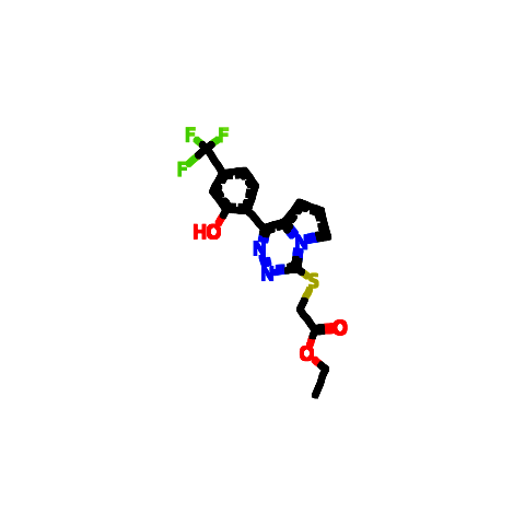 CCOC(=O)CSc1nnc(-c2ccc(C(F)(F)F)cc2O)c2cccn12